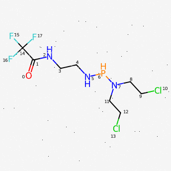 O=C(NCCNPN(CCCl)CCCl)C(F)(F)F